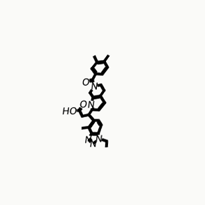 CCn1nnc2c(C)c(C(CC(=O)O)c3ccc4c(n3)CN(C(=O)c3ccc(C)c(C)c3)CC4)ccc21